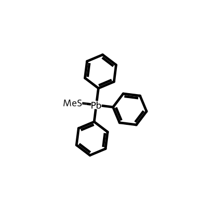 C[S][Pb]([c]1ccccc1)([c]1ccccc1)[c]1ccccc1